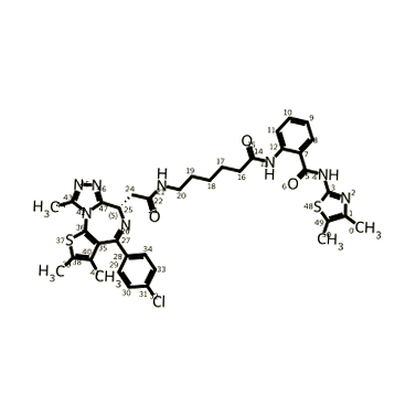 Cc1nc(NC(=O)c2ccccc2NC(=O)CCCCCNC(=O)C[C@@H]2N=C(c3ccc(Cl)cc3)c3c(sc(C)c3C)-n3c(C)nnc32)sc1C